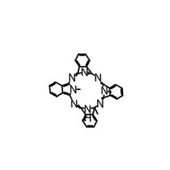 Cn1c2c3ccccc3c1/N=C1\NC(C)(/N=c3/c4ccccc4/c(n3C)=N/C3=NC(=N\2)/c2ccccc23)c2ccccc21